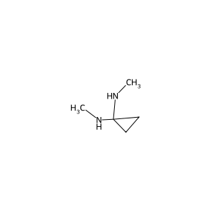 CNC1(NC)CC1